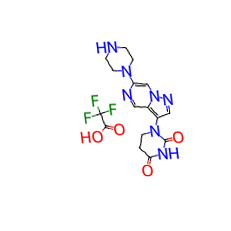 O=C(O)C(F)(F)F.O=C1CCN(c2cnn3cc(N4CCNCC4)ncc23)C(=O)N1